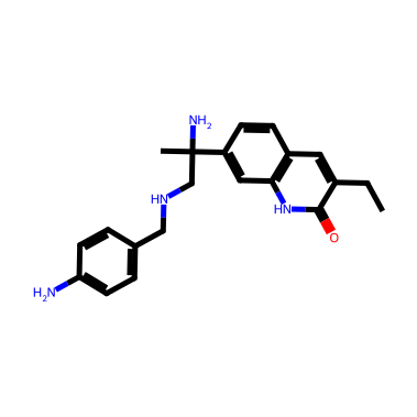 CCc1cc2ccc(C(C)(N)CNCc3ccc(N)cc3)cc2[nH]c1=O